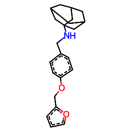 c1coc(COc2ccc(CNC34CC5CC(CC(C5)C3)C4)cc2)c1